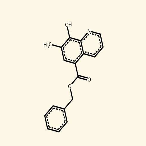 Cc1cc(C(=O)OCc2ccccc2)c2cccnc2c1O